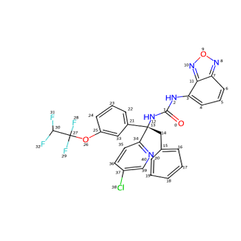 O=C(Nc1cccc2nonc12)N[C@@](Cc1ccccc1)(c1cccc(OC(F)(F)C(F)F)c1)c1ccc(Cl)cn1